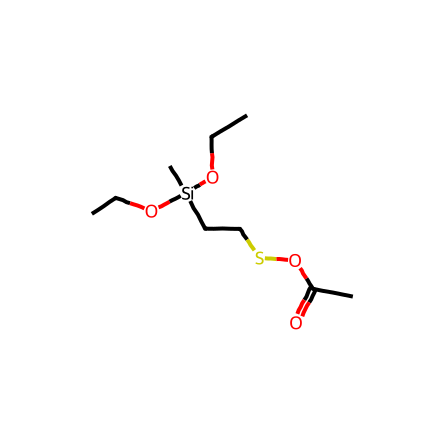 CCO[Si](C)(CCSOC(C)=O)OCC